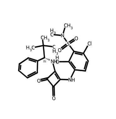 CN(C)S(=O)(=O)c1c(Cl)ccc(Nc2c(N[C@H](c3ccccc3)C(C)(C)C)c(=O)c2=O)c1O